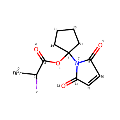 CCCC(I)C(=O)OC1(N2C(=O)C=CC2=O)CCCC1